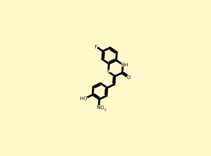 O=C1Nc2ccc(F)cc2SC1=Cc1ccc(O)c([N+](=O)[O-])c1